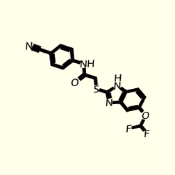 N#Cc1ccc(NC(=O)CSc2nc3cc(OC(F)F)ccc3[nH]2)cc1